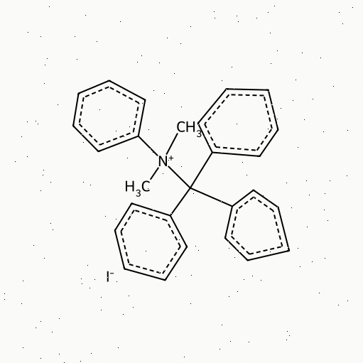 C[N+](C)(c1ccccc1)C(c1ccccc1)(c1ccccc1)c1ccccc1.[I-]